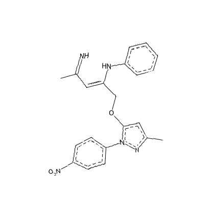 CC(=N)/C=C(/COc1cc(C)nn1-c1ccc([N+](=O)[O-])cc1)Nc1ccccc1